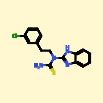 NC(=S)N(CCc1cccc(Cl)c1)c1nc2ccccc2[nH]1